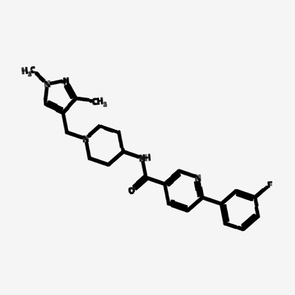 Cc1nn(C)cc1CN1CCC(NC(=O)c2ccc(-c3cccc(F)c3)nc2)CC1